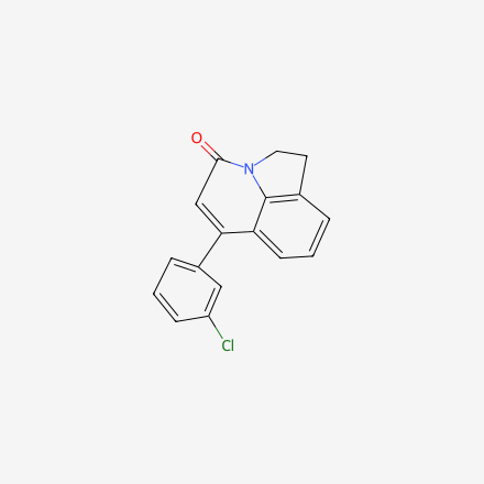 O=c1cc(-c2cccc(Cl)c2)c2cccc3c2n1CC3